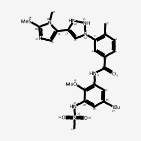 COc1c(NC(=O)c2ccc(C)c(N3C=C(c4cnc(SC)n4C)NN3)c2)cc(C(C)(C)C)cc1NS(C)(=O)=O